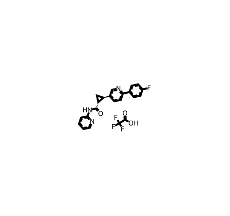 O=C(Nc1ccccn1)[C@@H]1C[C@H]1c1ccc(-c2ccc(F)cc2)nc1.O=C(O)C(F)(F)F